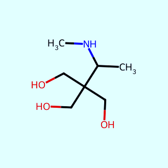 CNC(C)C(CO)(CO)CO